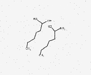 CCCCCC(N)O.CCCCCC(O)O